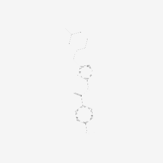 CC(=O)Nc1ccc(C(=O)Nc2nc(CN3CCCC(C)C3)cs2)cc1